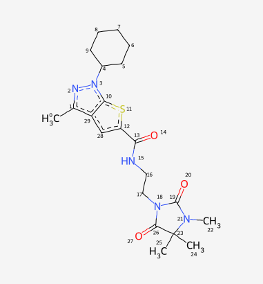 Cc1nn(C2CCCCC2)c2sc(C(=O)NCCN3C(=O)N(C)C(C)(C)C3=O)cc12